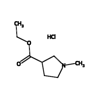 CCOC(=O)C1CCN(C)C1.Cl